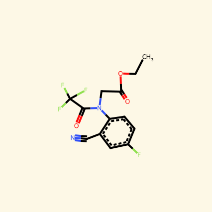 CCOC(=O)CN(C(=O)C(F)(F)F)c1ccc(F)cc1C#N